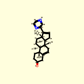 C[C@]12CCC(=O)CC1=CC[C@@H]1[C@@H]2CC[C@]2(C)C(c3cnccn3)=CC[C@@H]12